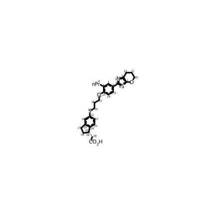 CCCc1cc(-c2nc3c(s2)OCCC3)ccc1OCCCSc1ccc2c(c1)CC[C@H]2CC(=O)O